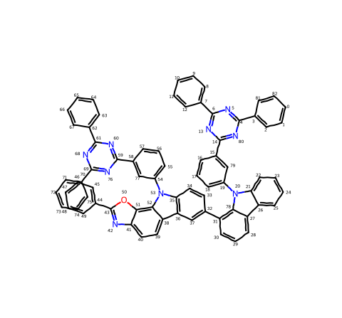 c1ccc(-c2nc(-c3ccccc3)nc(-c3cccc(-n4c5ccccc5c5cccc(-c6ccc7c(c6)c6ccc8nc(-c9ccccc9)oc8c6n7-c6cccc(-c7nc(-c8ccccc8)nc(-c8ccccc8)n7)c6)c54)c3)n2)cc1